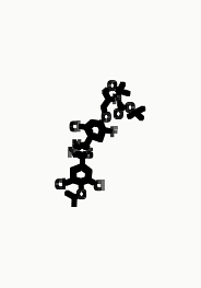 CC(C)Oc1c(Cl)cc(-c2nnc(-c3cc(F)c(OCC4COC(C)(C)N4C(=O)OC(C)(C)C)cc3Cl)s2)cc1Cl